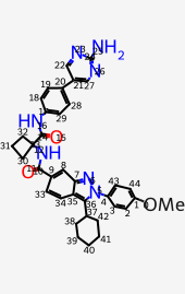 COc1ccc(-n2nc3cc(C(=O)NC4(C(=O)Nc5ccc(-c6cnc(N)nc6)cc5)CCC4)ccc3c2C2CCCCC2)cc1